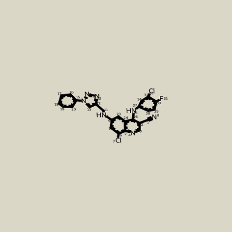 N#Cc1cnc2c(Cl)cc(NCc3cn(-c4ccccc4)nn3)cc2c1Nc1ccc(F)c(Cl)c1